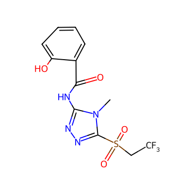 Cn1c(NC(=O)c2ccccc2O)nnc1S(=O)(=O)CC(F)(F)F